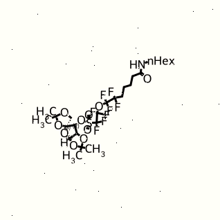 CCCCCCNC(=O)CCCCC(F)(F)C(F)(F)OC(F)(F)C(F)(F)S(=O)(=O)O[C@@H]1C2OC(C)(C)O[C@H]2O[C@]12COC(C)(C)O2